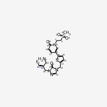 CS(=O)(=O)CCn1cc(-c2ccc(Cn3cnn(C/C(=C/F)CN)c3=O)s2)ccc1=O